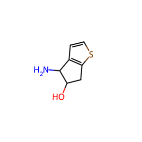 NC1c2ccsc2CC1O